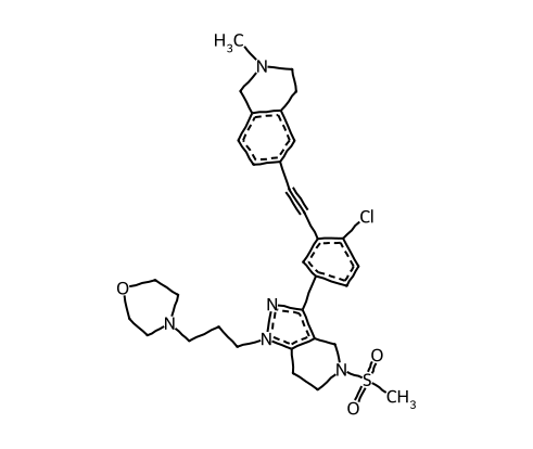 CN1CCc2cc(C#Cc3cc(-c4nn(CCCN5CCOCC5)c5c4CN(S(C)(=O)=O)CC5)ccc3Cl)ccc2C1